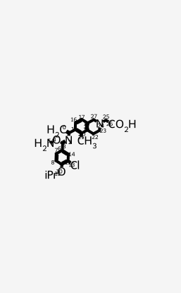 C=C(/N=C(\ON)c1ccc(OC(C)C)c(Cl)c1)c1ccc2c(c1C)CCN(CC(=O)O)C2